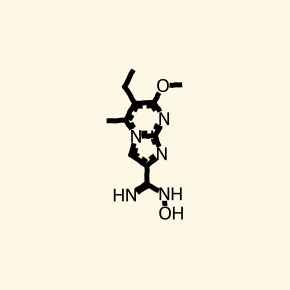 CCc1c(OC)nc2nc(C(=N)NO)cn2c1C